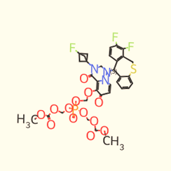 COC(=O)OCOP(=O)(OCOC(=O)OC)OCOc1c2n(ccc1=O)N([C@@H]1c3ccccc3SCc3c1ccc(F)c3F)CN(C13CC(F)(C1)C3)C2=O